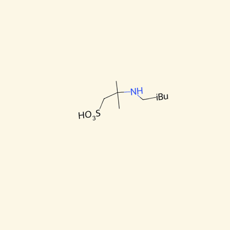 CCC(C)CNC(C)(C)CS(=O)(=O)O